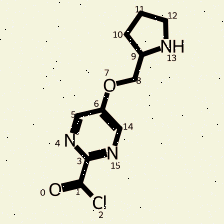 O=C(Cl)c1ncc(OCC2CCCN2)cn1